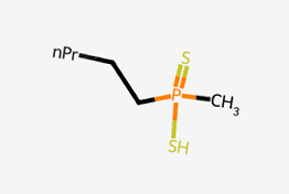 CCCCCP(C)(=S)S